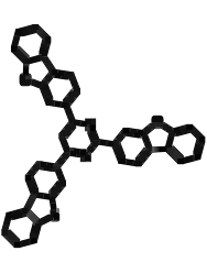 c1ccc2c(c1)oc1cc(-c3cc(-c4ccc5c(c4)sc4ccccc45)nc(-c4ccc5c(c4)oc4ccccc45)n3)ccc12